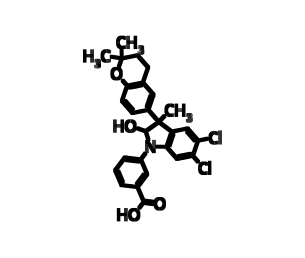 CC1(C)CCc2cc(C3(C)c4cc(Cl)c(Cl)cc4N(c4cccc(C(=O)O)c4)C3O)ccc2O1